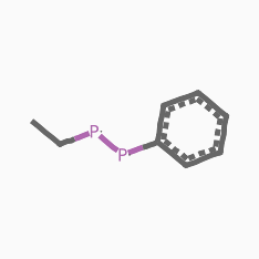 CC[P][P]c1ccccc1